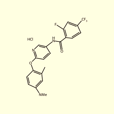 CNc1ccc(Oc2ccc(NC(=O)c3ccc(C(F)(F)F)cc3F)cn2)c(C)c1.Cl